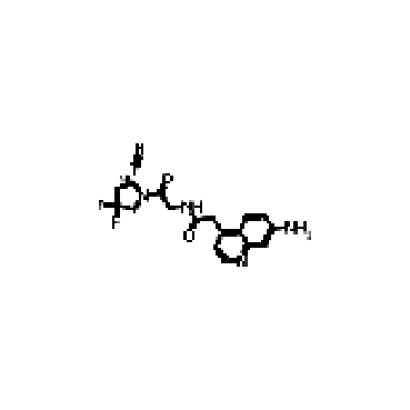 N#C[C@@H]1CC(F)(F)CN1C(=O)CNC(=O)Cc1ccnc2cc(N)ccc12